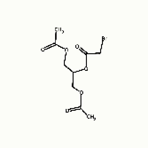 CC(=O)OCC(COC(C)=O)OC(=O)CBr